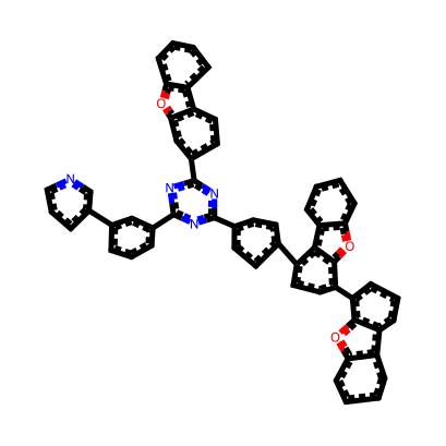 c1cncc(-c2cccc(-c3nc(-c4ccc(-c5ccc(-c6cccc7c6oc6ccccc67)c6oc7ccccc7c56)cc4)nc(-c4ccc5c(c4)oc4ccccc45)n3)c2)c1